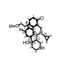 COCCc1ccc(Cl)c(CN(C(=O)[C@H]2CNCC[C@]2(O)c2ccc(F)c(F)c2)C2CC2)c1